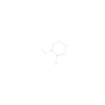 [CH]=Cc1ccccc1[N+](=O)[O-]